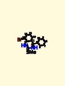 CSC(=N)NC(c1ccccc1)c1cccc(Br)c1